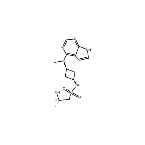 C[C@H](O)CS(=O)(=O)N[C@H]1C[C@@H](N(C)c2ncnc3[nH]ccc23)C1